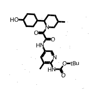 Cc1cc(NC(=O)C(=O)N2CC(C)CCC2C2CCC(O)CC2)cnc1NC(=O)OC(C)(C)C